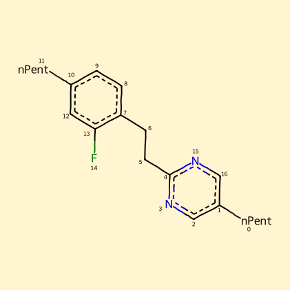 CCCCCc1cnc(CCc2ccc(CCCCC)cc2F)nc1